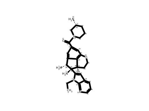 CCn1c([C@]2(N)[C@H](N)c3cc(C(=O)N4CCC[C@@H](N)C4)cc4c3[C@H]2CCO4)cc2cccnc21